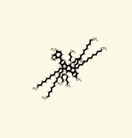 CCCCCCCCCCCCC1(CCCCCCCCCCCC)c2cc(C)sc2-c2c(N(CCCC)CCCC)c3c(c(N(CCCC)CCCC)c21)-c1sc(-c2ccc(C)c4nonc24)cc1C3(CCCCCCCCCCCC)CCCCCCCCCCCC